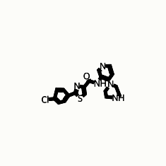 O=C(Nc1cnccc1N1CCNCC1)c1csc(-c2ccc(Cl)cc2)n1